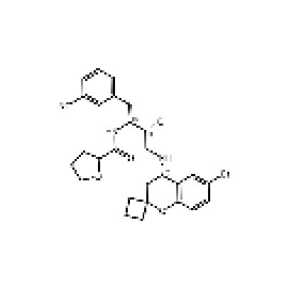 CCc1ccc2c(c1)[C@@H](NC[C@@H](O)[C@H](Cc1cccc(C#N)c1)NC(=O)C1CCCO1)CC1(CCC1)O2